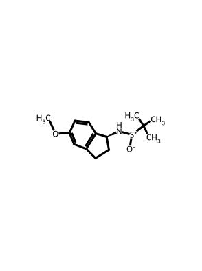 COc1ccc2c(c1)CC[C@@H]2N[S+]([O-])C(C)(C)C